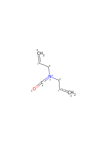 C=C[CH][N+](=C=O)CC=C